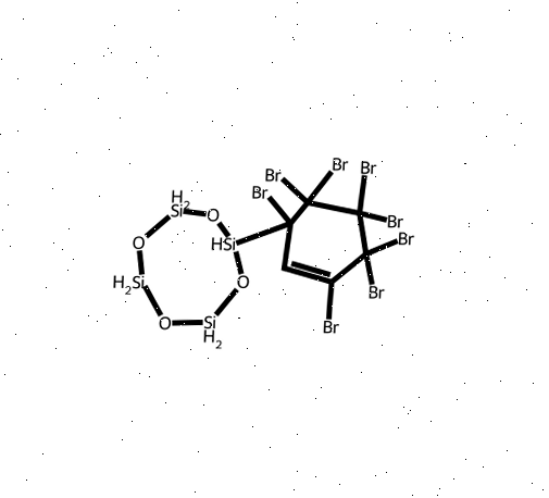 BrC1=CC(Br)([SiH]2O[SiH2]O[SiH2]O[SiH2]O2)C(Br)(Br)C(Br)(Br)C1(Br)Br